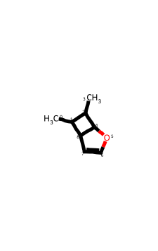 CC1C(C)C2OC=CC12